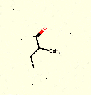 CC[CH]([GeH3])[C]=O